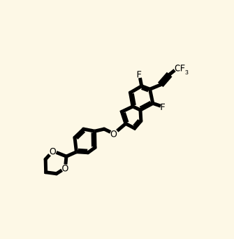 Fc1cc2cc(OCc3ccc(C4OCCCO4)cc3)ccc2c(F)c1C#CC(F)(F)F